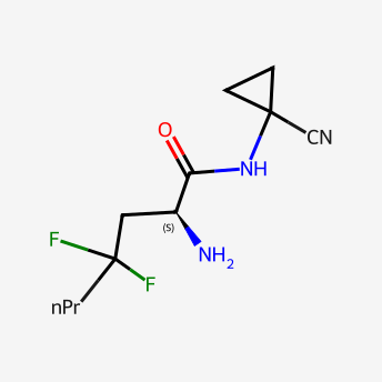 CCCC(F)(F)C[C@H](N)C(=O)NC1(C#N)CC1